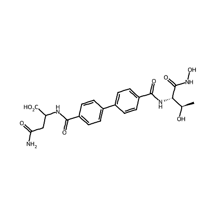 C[C@@H](O)[C@H](NC(=O)c1ccc(-c2ccc(C(=O)NC(CC(N)=O)C(=O)O)cc2)cc1)C(=O)NO